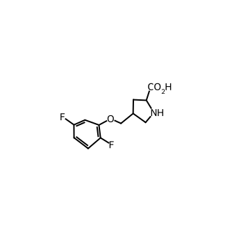 O=C(O)C1CC(COc2cc(F)ccc2F)CN1